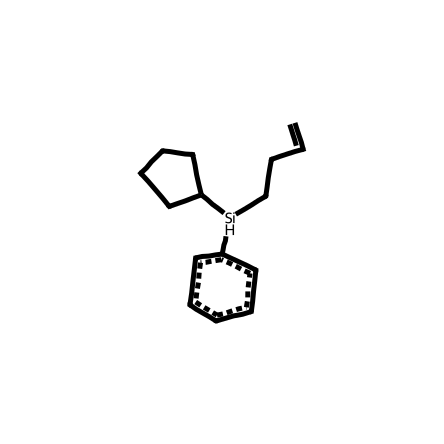 C=CCC[SiH](c1ccccc1)C1CCCC1